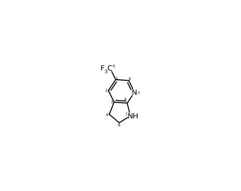 FC(F)(F)c1[c]c2c(nc1)NCC2